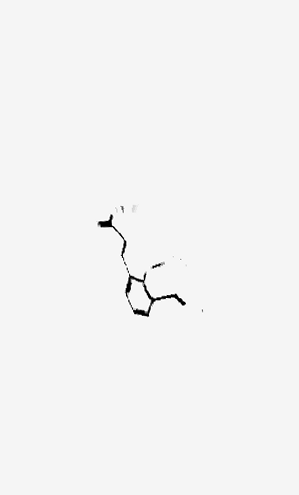 CCc1cccc(CCC(=O)O)c1OC